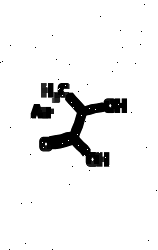 CC(O)C(=O)O.[Au]